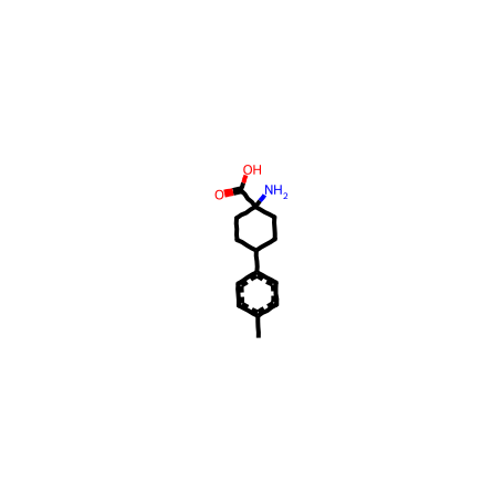 Cc1ccc(C2CCC(N)(C(=O)O)CC2)cc1